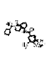 COc1c(C)cc(C(=O)Nc2cccc3c(=O)n(C(O)C4CCCCC4)ccc23)cc1C